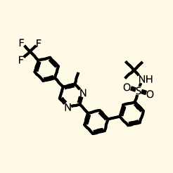 Cc1nc(-c2cccc(-c3cccc(S(=O)(=O)NC(C)(C)C)c3)c2)ncc1-c1ccc(C(F)(F)F)cc1